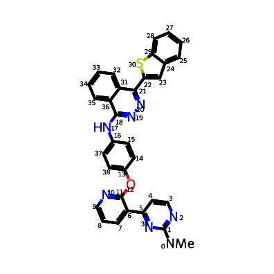 CNc1nccc(-c2cccnc2Oc2ccc(Nc3nnc(-c4cc5ccccc5s4)c4ccccc34)cc2)n1